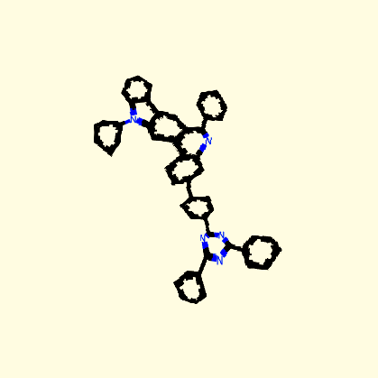 c1ccc(-c2nc(-c3ccccc3)nc(-c3ccc(-c4ccc5c(c4)nc(-c4ccccc4)c4cc6c7ccccc7n(-c7ccccc7)c6cc45)cc3)n2)cc1